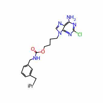 CC(C)Cc1cccc(CNC(=O)OCCCCn2cnc3c(N)nc(Cl)nc32)c1